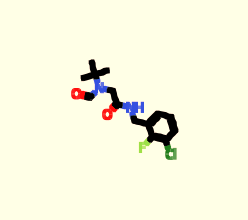 CC(C)(C)N(C=O)CC(=O)NCc1cccc(Cl)c1F